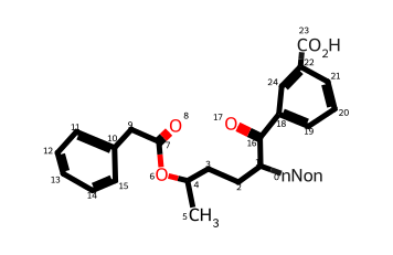 CCCCCCCCCC(CCC(C)OC(=O)Cc1ccccc1)C(=O)c1cccc(C(=O)O)c1